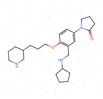 O=C1CCCN1c1ccc(OCCCC2CCCNC2)c(CNC2CCCC2)c1